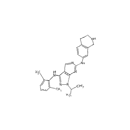 Cc1cccc(C)c1Nc1nn(C(C)C)c2nc(Nc3ccc4c(c3)CNCC4)ncc12